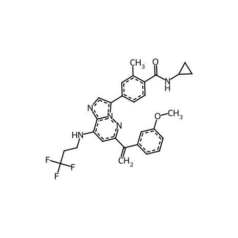 C=C(c1cccc(OC)c1)c1cc(NCCC(F)(F)F)c2ncc(-c3ccc(C(=O)NC4CC4)c(C)c3)n2n1